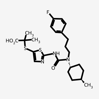 CC(C)(Sc1cnc(NC(=O)N(CCCc2ccc(F)cc2)[C@H]2CC[C@H](C)CC2)s1)C(=O)O